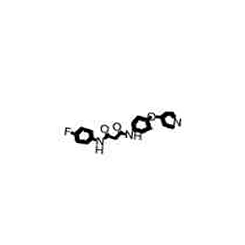 O=C(CC(=O)Nc1ccc(Oc2ccncc2)cc1)Nc1ccc(F)cc1